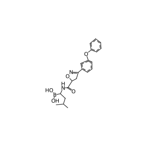 CC(C)CC(NC(=O)C1CC(c2cccc(Oc3ccccc3)c2)=NO1)B(O)O